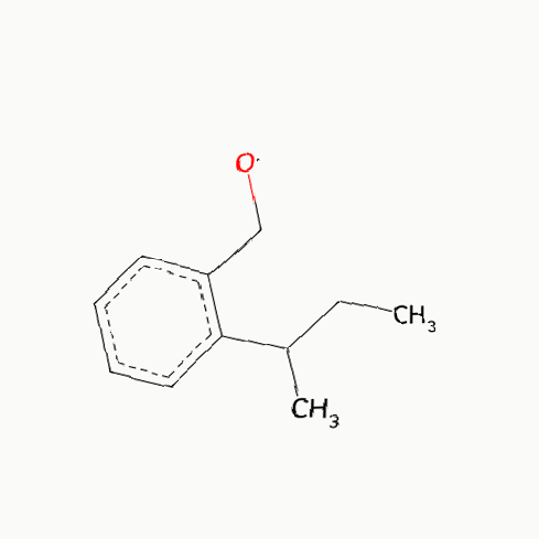 CCC(C)c1ccccc1C[O]